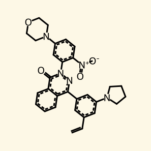 C=Cc1cc(-c2nn(-c3cc(N4CCOCC4)ccc3[N+](=O)[O-])c(=O)c3ccccc23)cc(N2CCCC2)c1